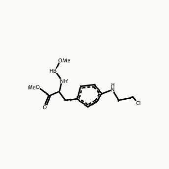 COBNC(Cc1ccc(NCCCl)cc1)C(=O)OC